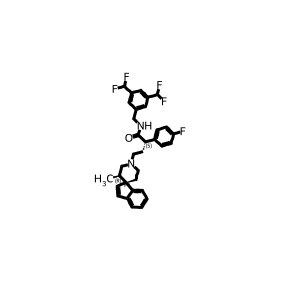 C[C@H]1CN(CC[C@H](C(=O)NCc2cc(C(F)F)cc(C(F)F)c2)c2ccc(F)cc2)CC[C@@]12C=Cc1ccccc12